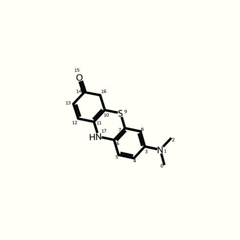 CN(C)c1ccc2c(c1)SC1=C(C=CC(=O)C1)N2